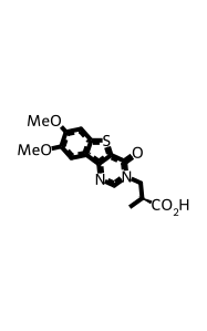 COc1cc2sc3c(=O)n(C[C@H](C)C(=O)O)cnc3c2cc1OC